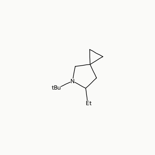 CCC1CC2(CC2)CN1C(C)(C)C